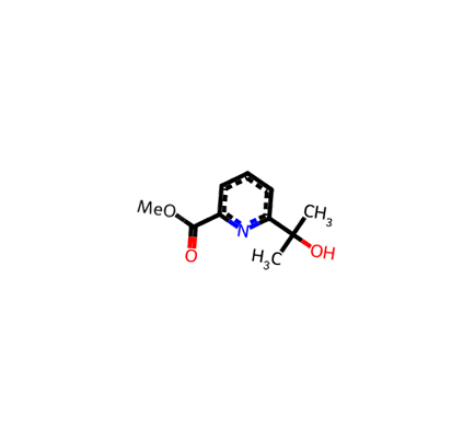 COC(=O)c1cccc(C(C)(C)O)n1